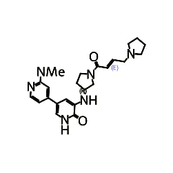 CNc1cc(-c2c[nH]c(=O)c(N[C@@H]3CCN(C(=O)/C=C/CN4CCCC4)C3)c2)ccn1